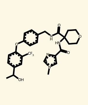 CC(O)c1ccc(Oc2ccc(CNC(=O)C3(NC(=O)c4cn(C)cn4)CCOCC3)cc2)c(C(F)(F)F)c1